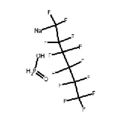 FC(F)(F)C(F)(F)C(F)(F)C(F)(F)C(F)(F)[C](F)(F)[Na].O=[PH2]O